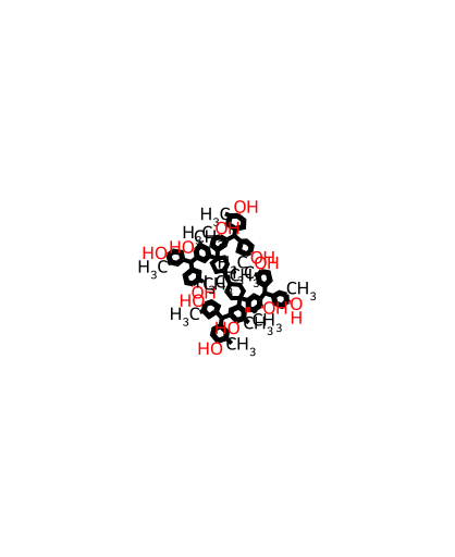 Cc1cc(C(c2ccc(O)c(C)c2)c2cc(C3(c4cc(C)c(O)c(C(c5ccc(O)c(C)c5)c5ccc(O)c(C)c5)c4)CCC(C(C)(C)C4CCC(c5cc(C)c(O)c(C(c6ccc(O)c(C)c6)c6ccc(O)c(C)c6)c5)(c5cc(C)c(O)c(C(c6ccc(O)c(C)c6)c6ccc(O)c(C)c6)c5)CC4)CC3)cc(C)c2O)ccc1O